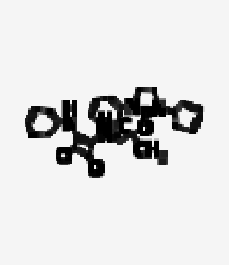 CC(C)(CNc1c(Nc2ccccc2)c(=O)c1=O)OP1N(c2ccccc2)CCN1c1ccccc1